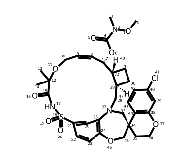 CON(C)C(=O)O[C@H]1C=CCOC(C)(C)C(=O)NS(=O)(=O)c2ccc3c(c2)N(C[C@@H]2CC[C@H]21)C[C@@]1(CCOc2cc(Cl)ccc21)CO3